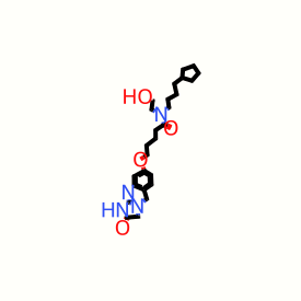 O=C1CN2Cc3ccc(OCCCCC(=O)N(CCO)CCCCC4CCCC4)cc3N=C2N1